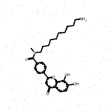 CN(CCCCCCCCCCN)C(=O)c1ccc(-c2cc(=O)c3ccc(O)c(O)c3o2)cc1